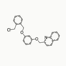 ClCc1ccccc1COc1cccc(OCc2ccc3ccccc3n2)c1